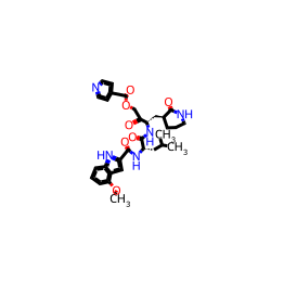 COc1cccc2[nH]c(C(=O)N[C@@H](CC(C)C)C(=O)N[C@@H](C[C@@H]3CCCNC3=O)C(=O)COC(=O)c3ccncc3)cc12